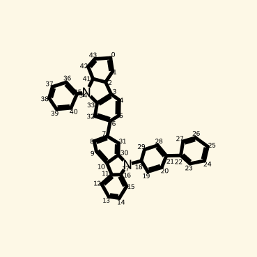 C1=CC2c3ccc(-c4ccc5c6ccccc6n(C6C=CC(c7ccccc7)=CC6)c5c4)cc3N(c3ccccc3)C2C=C1